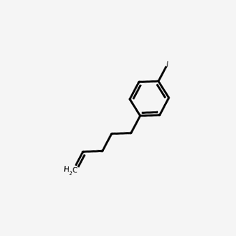 C=CCCCc1ccc(I)cc1